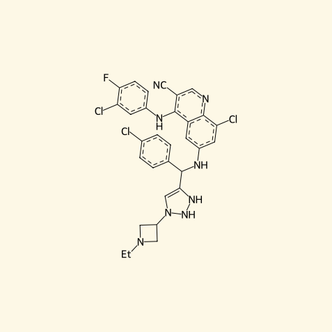 CCN1CC(N2C=C(C(Nc3cc(Cl)c4ncc(C#N)c(Nc5ccc(F)c(Cl)c5)c4c3)c3ccc(Cl)cc3)NN2)C1